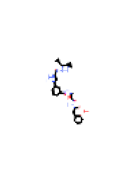 O=C(NC(C1CC1)C1CC1)c1cc(-c2cccc(-c3ncc(C(=O)NC(CC4CCCCC4)C(=O)O)o3)c2)[nH]n1